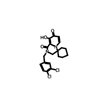 O=C1c2c(O)c(=O)ccn2C2(CCCCC2)CN1Cc1ccc(Cl)c(Cl)c1